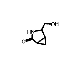 O=C1NC(CO)C2CC12